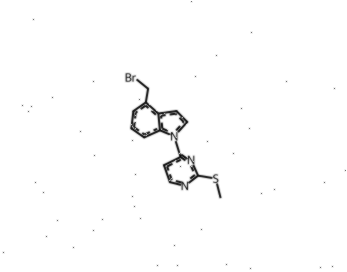 CSc1nccc(-n2ccc3c(CBr)cccc32)n1